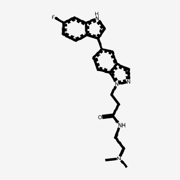 CN(C)CCNC(=O)CCn1ncc2cc(-c3c[nH]c4cc(F)ccc34)ccc21